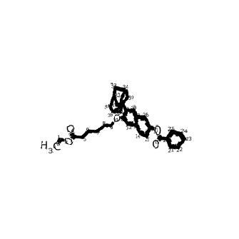 CCOC(=O)CCCCCOc1cc2ccc(OC(=O)c3ccccc3)cc2cc1C12CC3CC(CC(C3)C1)C2